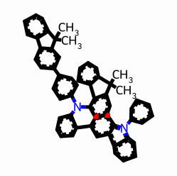 CC1(C)c2ccccc2-c2ccc(-c3ccc(N(c4ccccc4-c4ccc5c(c4)c4ccccc4n5-c4ccccc4)c4cccc5c4-c4ccccc4C5(C)C)cc3)cc21